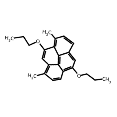 CCCOc1cc2ccc(C)c3c(OCCC)cc4c(C)ccc1c4c23